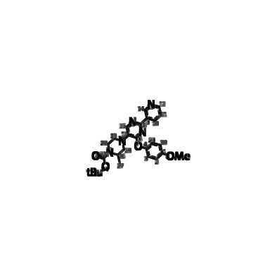 COc1ccc(Oc2nc(-c3cccnc3)ncc2N2CCN(C(=O)OC(C)(C)C)C(C)C2)cc1